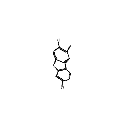 Cc1cc2c(cc1Cl)sc1cc(Cl)ccc12